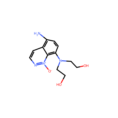 Nc1ccc(N(CCO)CCO)c2c1ccn[n+]2[O-]